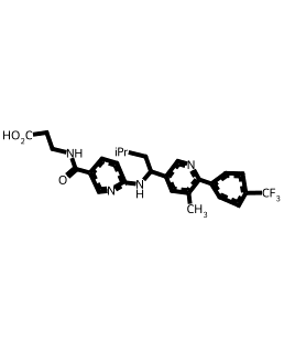 Cc1cc(C(CC(C)C)Nc2ccc(C(=O)NCCC(=O)O)cn2)cnc1-c1ccc(C(F)(F)F)cc1